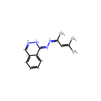 CC(C)=CC(C)=NN=c1[nH]ncc2ccccc12